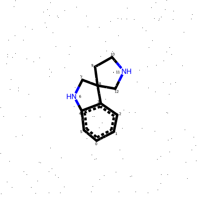 c1ccc2c(c1)NCC21CCNC1